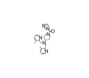 Cc1cccnc1CN(Cc1ncccc1C)C1CCN(C(=O)n2ccnc2)CC1